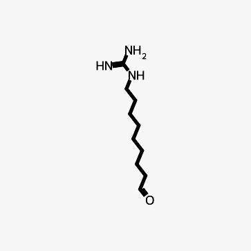 N=C(N)NCCCCCCCCC=O